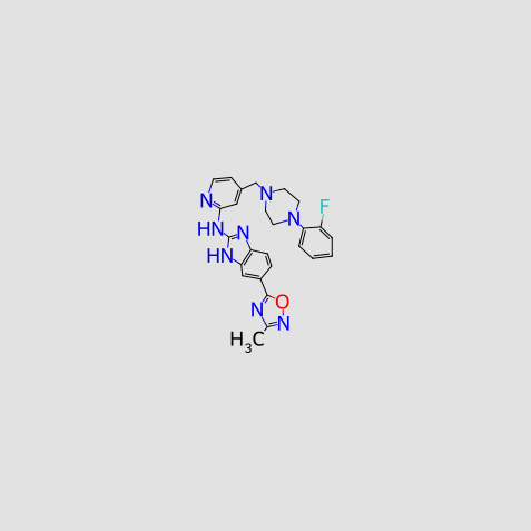 Cc1noc(-c2ccc3nc(Nc4cc(CN5CCN(c6ccccc6F)CC5)ccn4)[nH]c3c2)n1